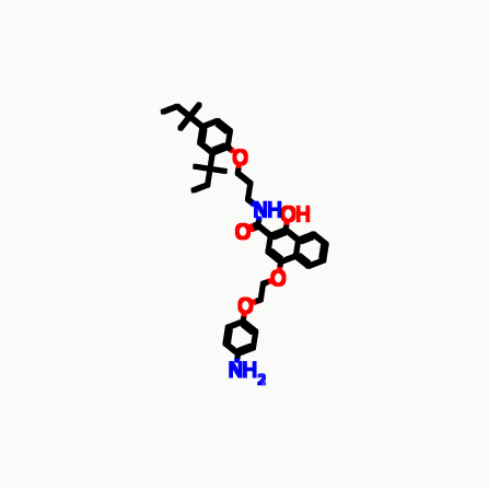 CCC(C)(C)c1ccc(OCCCNC(=O)c2cc(OCCOc3ccc(N)cc3)c3ccccc3c2O)c(C(C)(C)CC)c1